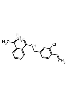 C=Cc1ccc(CNC(=C)c2ccccc2C(=C)C)cc1Cl